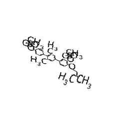 CC(C)=CCOc1ccc(-c2cc(C)c(-c3ccc(OS(C)(=O)=O)cc3)c(C)c2)cc1OS(C)(=O)=O